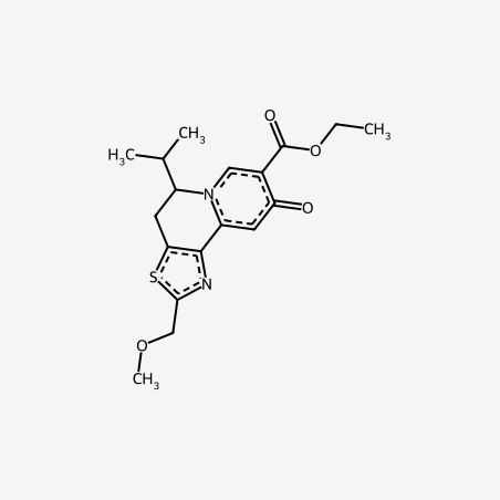 CCOC(=O)c1cn2c(cc1=O)-c1nc(COC)sc1CC2C(C)C